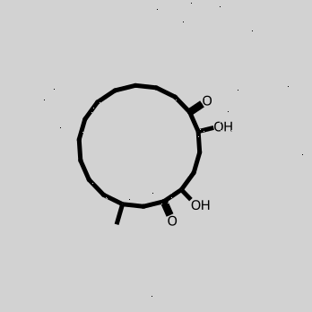 CC1CCCCCCCCCCC(=O)C(O)CCC(O)C(=O)C1